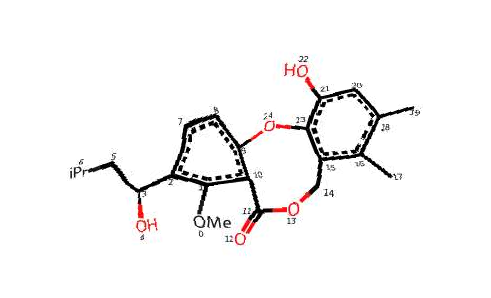 COc1c([C@@H](O)CC(C)C)ccc2c1C(=O)OCc1c(C)c(C)cc(O)c1O2